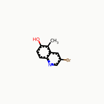 Cc1c(O)ccc2ncc(Br)cc12